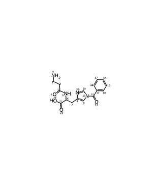 NCCC(=O)NC(Cc1cn(C(=O)c2ccccc2)cn1)C(=O)O